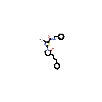 Cc1nc(N2CCCC(CCCc3ccccc3)C2=O)sc1C(=O)NCc1ccccc1